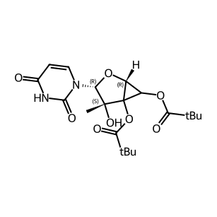 CC(C)(C)C(=O)OC1[C@H]2O[C@@H](n3ccc(=O)[nH]c3=O)[C@@](C)(O)C12OC(=O)C(C)(C)C